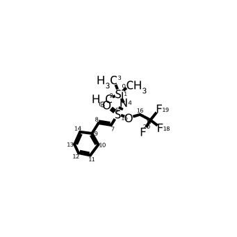 C[Si](C)(C)N=S(=O)(C=Cc1ccccc1)OCC(F)(F)F